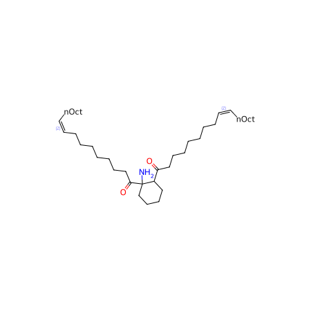 CCCCCCCC/C=C\CCCCCCCC(=O)C1CCCCC1(N)C(=O)CCCCCCC/C=C\CCCCCCCC